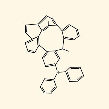 Cc1c2ccc3ccc4cccc(c4c13)-c1ccc(N(c3ccccc3)c3ccccc3)cc1C(C)c1ccccc1-2